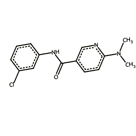 CN(C)c1ccc(C(=O)Nc2cccc(Cl)c2)cn1